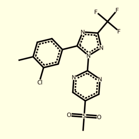 Cc1ccc(-c2nc(C(F)(F)F)nn2-c2ncc(S(C)(=O)=O)cn2)cc1Cl